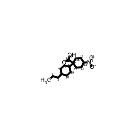 CCCC1CCC(C2(C(=O)O)CCC([N+](=O)[O-])CC2)CC1